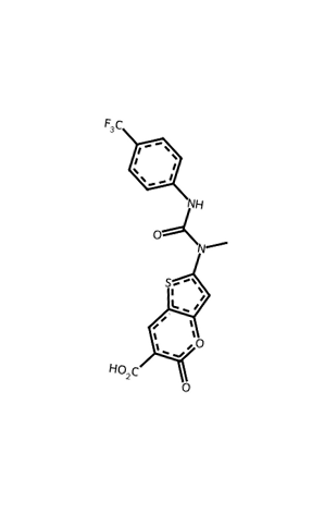 CN(C(=O)Nc1ccc(C(F)(F)F)cc1)c1cc2oc(=O)c(C(=O)O)cc2s1